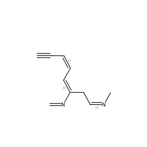 C#C/C=C\C=C(/C/C=N\C)N=C